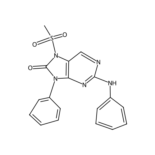 CS(=O)(=O)n1c(=O)n(-c2ccccc2)c2nc(Nc3ccccc3)ncc21